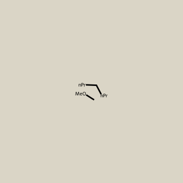 CCCCCCC.COC